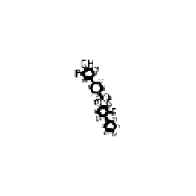 Cc1ccc(C2CCC(C(=O)Oc3ccc(-c4ccccc4)c(F)c3F)CC2)cc1F